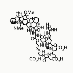 CC[C@](C(=O)OC)(c1cc2c(cc1OC)N(C)[C@@H]1[C@@](O)(C(=O)NNC(=O)OCCSSC[C@H](NC(=O)[C@H](CC(=O)O)NC(=O)[C@H](CC(=O)O)NC(=O)[C@H](CCCNC(=N)N)NC(=O)[C@@H](N)CC(=O)O)C(=O)O)[C@@H](O)[C@@]3(CC)C=CCN4CC[C@@]21C43)c1[nH]c2ccccc2c1CCNC